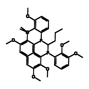 CCCC(P(c1cccc(OC)c1OC)c1cccc(OC)c1OC)P(c1cccc(OC)c1OC)c1cccc(OC)c1OC